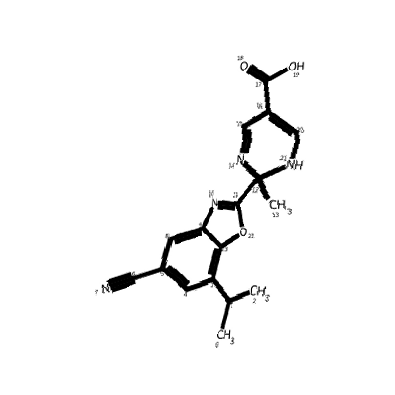 CC(C)c1cc(C#N)cc2nc(C3(C)N=CC(C(=O)O)=CN3)oc12